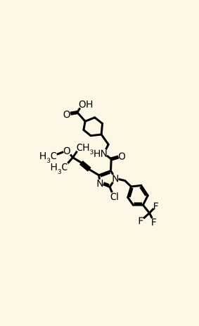 COC(C)(C)C#Cc1nc(Cl)n(Cc2ccc(C(F)(F)F)cc2)c1C(=O)NCC1CCC(C(=O)O)CC1